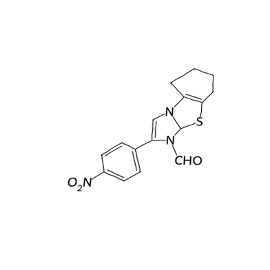 O=CN1C(c2ccc([N+](=O)[O-])cc2)=CN2C3=C(CCCC3)SC12